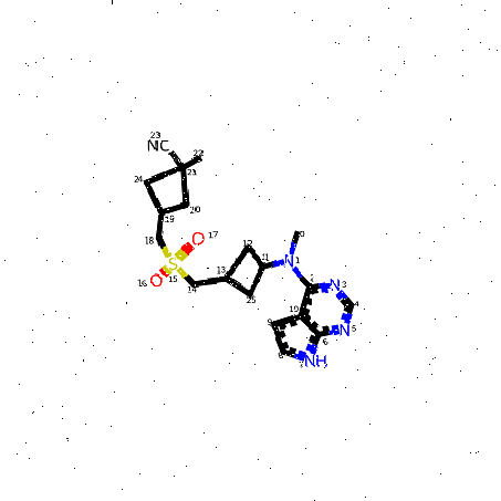 CN(c1ncnc2[nH]ccc12)C1CC(CS(=O)(=O)CC2CC(C)(C#N)C2)C1